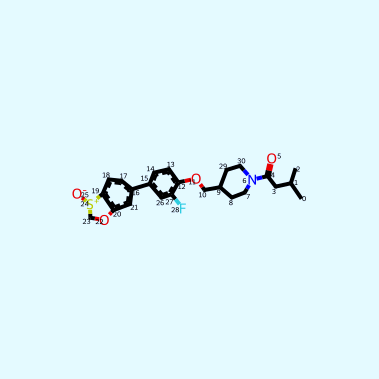 CC(C)CC(=O)N1CCC(COc2ccc(-c3ccc4c(c3)OC[S+]4[O-])cc2F)CC1